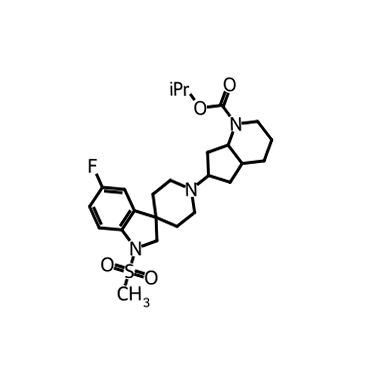 CC(C)OC(=O)N1CCCC2CC(N3CCC4(CC3)CN(S(C)(=O)=O)c3ccc(F)cc34)CC21